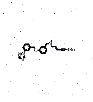 CN(C/C=C/C#CC(C)(C)C)Cc1cccc(OCc2cccc(-n3cncn3)c2)c1